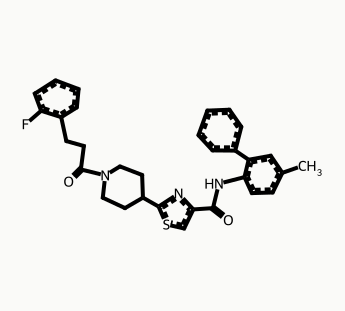 Cc1ccc(NC(=O)c2csc(C3CCN(C(=O)CCc4ccccc4F)CC3)n2)c(-c2ccccc2)c1